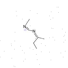 CCC(C)=N/C=N\C